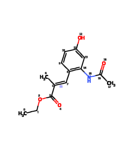 CCOC(=O)/C(C)=C/c1ccc(O)cc1NC(C)=O